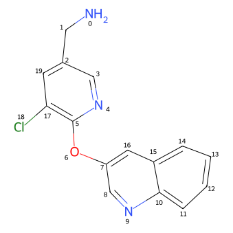 NCc1cnc(Oc2cnc3ccccc3c2)c(Cl)c1